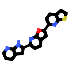 c1cnc2[nH]c(-c3ccc4cc(-c5ccc6ccsc6n5)oc4n3)cc2c1